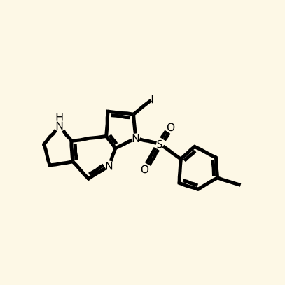 Cc1ccc(S(=O)(=O)n2c(I)cc3c4c(cnc32)CCN4)cc1